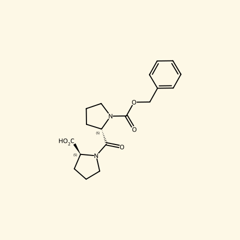 O=C(O)[C@@H]1CCCN1C(=O)[C@@H]1CCCN1C(=O)OCc1ccccc1